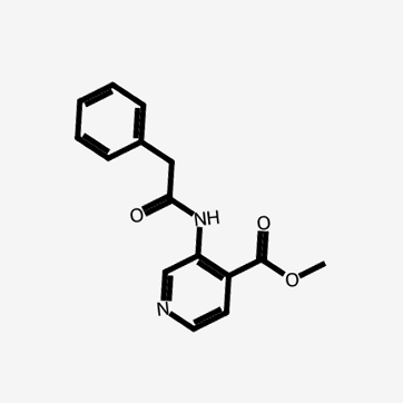 COC(=O)c1ccncc1NC(=O)Cc1ccccc1